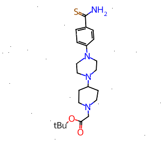 CC(C)(C)OC(=O)CN1CCC(N2CCN(c3ccc(C(N)=S)cc3)CC2)CC1